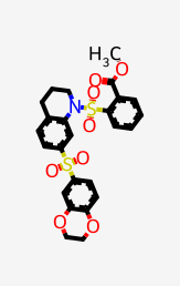 COC(=O)c1ccccc1S(=O)(=O)N1CCCc2ccc(S(=O)(=O)c3ccc4c(c3)OCCO4)cc21